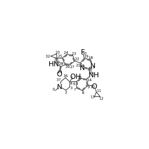 CN1CCC(O)(c2ccc(OC3CC3)c(Nc3ncc(F)c(-c4ccc5c(c4)C(=O)NC54CC4)n3)c2)CC1